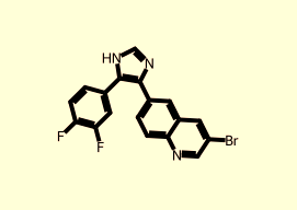 Fc1ccc(-c2[nH]cnc2-c2ccc3ncc(Br)cc3c2)cc1F